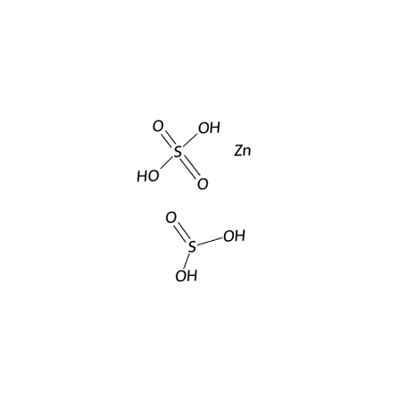 O=S(=O)(O)O.O=S(O)O.[Zn]